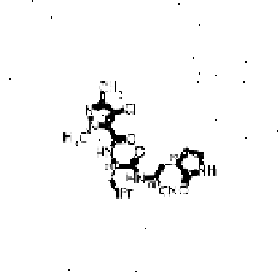 Cc1nn(C)c(C(=O)N[C@@H](CC(C)C)C(=O)N[C@H](C#N)C[C@@H]2CCNC2=O)c1Cl